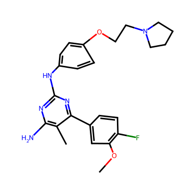 COc1cc(-c2nc(Nc3ccc(OCCN4CCCC4)cc3)nc(N)c2C)ccc1F